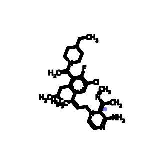 C=N/C(C)=C1/C(N)=NC=CN1CC=C(C)c1cc(Cl)c(F)c(C(=C)N2CCC(CC)CC2)c1CC(C)C